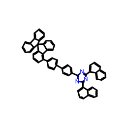 c1ccc2c(c1)-c1ccccc1C21c2ccccc2-c2c(-c3ccc(-c4ccc(-c5nc(-c6cccc7ccccc67)nc(-c6cccc7ccccc67)n5)cc4)cc3)cccc21